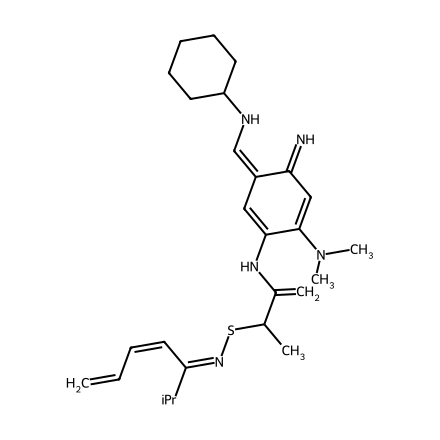 C=C/C=C\C(=NSC(C)C(=C)NC1=C/C(=C/NC2CCCCC2)C(=N)C=C1N(C)C)C(C)C